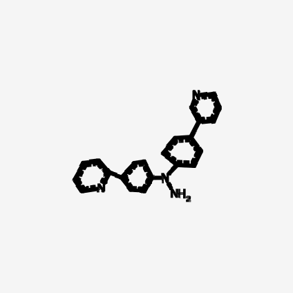 NN(c1ccc(-c2cccnc2)cc1)c1ccc(-c2ccccn2)cc1